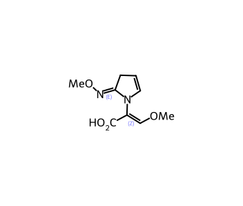 CO/C=C(/C(=O)O)N1C=CC/C1=N\OC